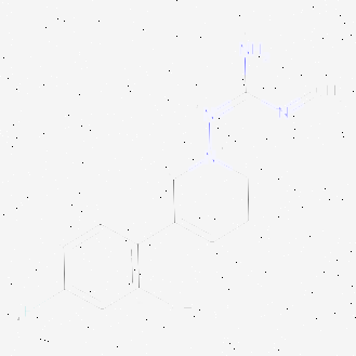 C=N/C(N)=N\N1CCC=C(c2ccc(F)cc2C)C1